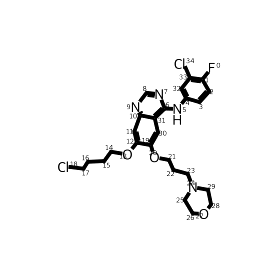 Fc1ccc(Nc2ncnc3cc(OCCCCCl)c(OCCCN4CCOCC4)cc23)cc1Cl